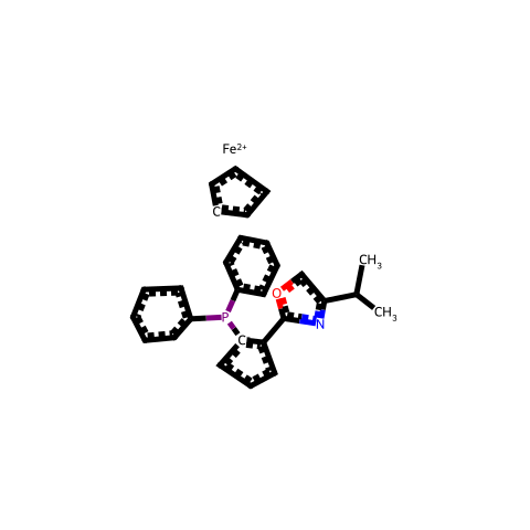 CC(C)c1coc(-c2ccc[c-]2P(c2ccccc2)c2ccccc2)n1.[Fe+2].c1cc[cH-]c1